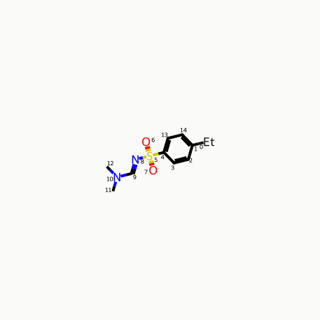 CCc1ccc(S(=O)(=O)/N=C/N(C)C)cc1